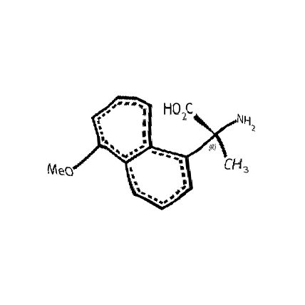 COc1cccc2c([C@@](C)(N)C(=O)O)cccc12